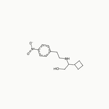 O=[N+]([O-])c1ccc(CCNC(CO)C2CCC2)cc1